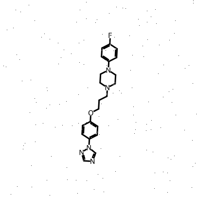 Fc1ccc(N2CCN(CCCOc3ccc(-n4cncn4)cc3)CC2)cc1